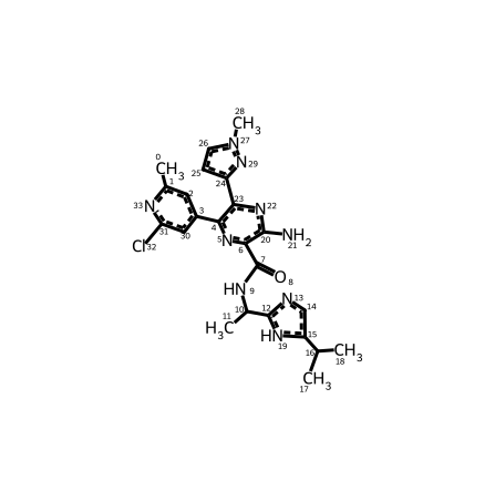 Cc1cc(-c2nc(C(=O)NC(C)c3ncc(C(C)C)[nH]3)c(N)nc2-c2ccn(C)n2)cc(Cl)n1